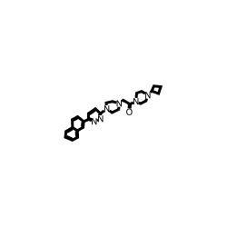 O=C(CN1CCN(c2ccc(-c3ccc4ccccc4c3)nn2)CC1)N1CCN(C2CCC2)CC1